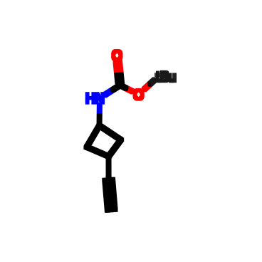 C#CC1CC(NC(=O)OC(C)(C)C)C1